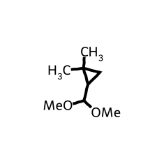 COC(OC)C1CC1(C)C